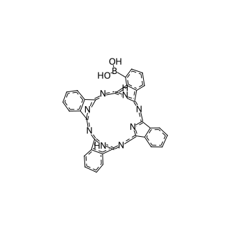 OB(O)c1cccc2c3nc4nc(nc5[nH]c(nc6nc(nc([nH]3)c12)-c1ccccc1-6)c1ccccc51)-c1ccccc1-4